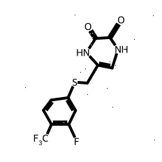 O=c1[nH]cc(CSc2ccc(C(F)(F)F)c(F)c2)[nH]c1=O